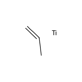 C=CC.[Ti]